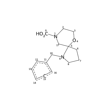 O=C(O)N1CCOC2(CCCN2Cc2ccccc2)C1